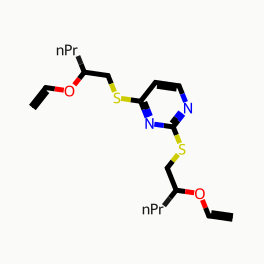 C=COC(CCC)CSc1ccnc(SCC(CCC)OC=C)n1